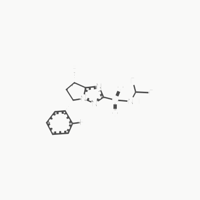 O=S(=O)(NC(F)F)c1nc2n(n1)[C@H](c1ccccc1F)C[C@@H]2F